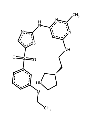 CCOc1cccc(S(=O)(=O)c2cnc(Nc3cc(NCC[C@H]4CCNC4)nc(C)n3)s2)c1